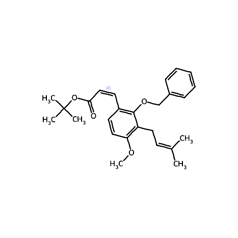 COc1ccc(/C=C\C(=O)OC(C)(C)C)c(OCc2ccccc2)c1CC=C(C)C